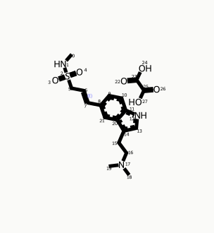 CNS(=O)(=O)C/C=C/c1ccc2[nH]cc(CCN(C)C)c2c1.O=C(O)C(=O)O